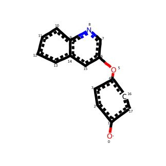 [O]c1ccc(Oc2cnc3ccccc3c2)cc1